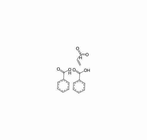 C=C[SH](=O)=O.O=C(O)c1ccccc1.O=C(O)c1ccccc1